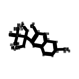 CCC(CC)(c1cc2ccc(C)cc2nc1Cl)P(=O)(O)O